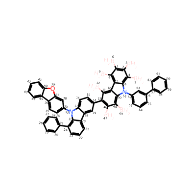 Bc1c(B)c(B)c2c(c1B)c1c(B)c(-c3ccc4c(c3)c3cccc(-c5ccccc5)c3n4-c3ccc4c(c3)oc3ccccc34)c(B)c(B)c1n2-c1cccc(-c2ccccc2)c1